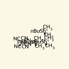 CCC[CH2][Sn+]([CH3])[CH3].CCC[CH2][Sn+]([CH3])[CH3].CCC[CH2][Sn+]([CH3])[CH3].N#[C][Fe-3]([C]#N)([C]#N)([C]#N)([C]#N)[C]#N